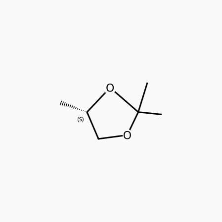 C[C@H]1COC(C)(C)O1